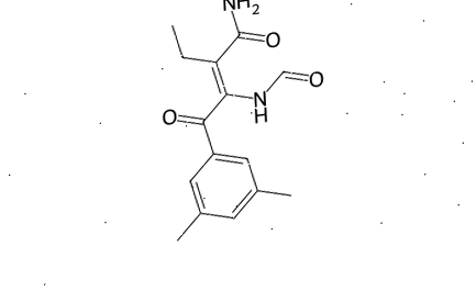 CC/C(C(N)=O)=C(/NC=O)C(=O)c1cc(C)cc(C)c1